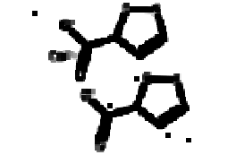 O=C([O-])C1C=CSS1.O=C([O-])C1C=CSS1.[Co+2]